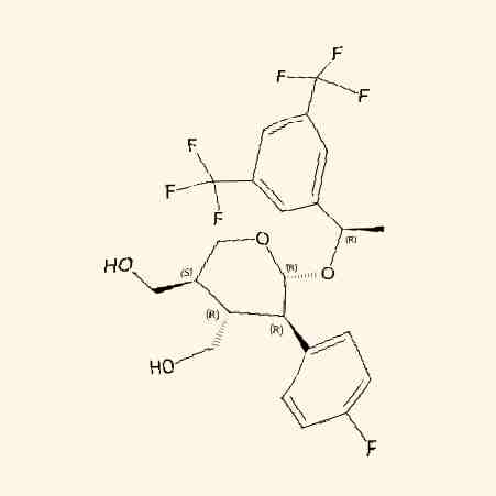 C[C@@H](O[C@H]1OC[C@H](CO)[C@@H](CO)[C@@H]1c1ccc(F)cc1)c1cc(C(F)(F)F)cc(C(F)(F)F)c1